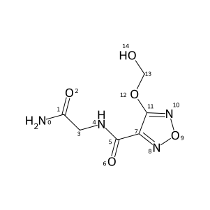 NC(=O)CNC(=O)c1nonc1OCO